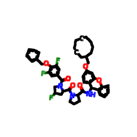 O=C(NC1c2ccccc2Oc2cc(OCC3CCCCCCCCC3)ccc21)C1CCCN1C(=O)C1CC(F)CN1C(=O)c1cc(F)c(OCc2ccccc2)c(F)c1